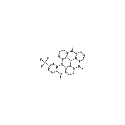 COc1ccc(C(F)(F)F)cc1N1c2cccc(OC)c2C(c2c(OC)cccc2OC)c2c(OC)cccc21